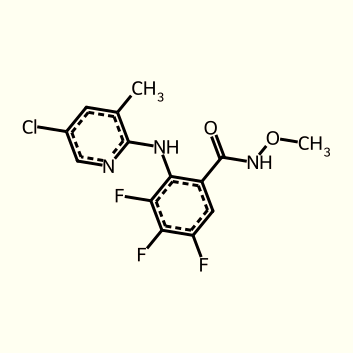 CONC(=O)c1cc(F)c(F)c(F)c1Nc1ncc(Cl)cc1C